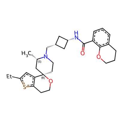 CCc1cc2c(s1)CCO[C@@]21CCN(C[C@H]2C[C@@H](NC(=O)c3cccc4c3OCCC4)C2)[C@@H](C)C1